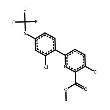 COC(=O)c1nc(-c2ccc(SC(F)(F)F)cc2Cl)ccc1Cl